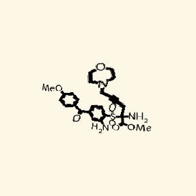 COC(=O)C(N)(CC#CCN1CCOCC1)S(=O)(=O)c1ccc(C(=O)c2ccc(OC)cc2)cc1N